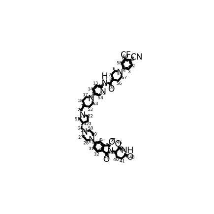 N#Cc1ccc(N2CCC(C(=O)Nc3ccc(N4CCC(CN5CC[C@@H](CN6CCN(c7ccc8c(c7)C(=O)N(C7CCC(=O)NC7=O)C8=O)CC6)C5)CC4)cn3)CC2)cc1C(F)(F)F